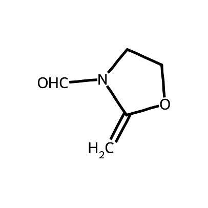 C=C1OCCN1C=O